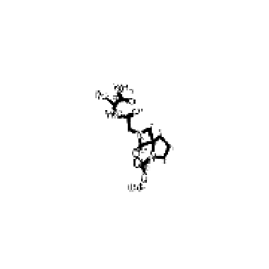 CC(C)C(NC(=O)CN1CC2(CCCN2C(=O)OC(C)(C)C)C1=O)C(N)=O